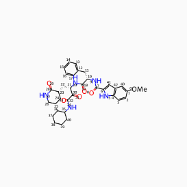 COc1ccc2[nH]c(C(=O)N[C@@H](Cc3ccccc3)C(=O)N[C@@H](C[C@@H]3CCCNC3=O)C(=O)C(=O)NC3CCCCC3)cc2c1